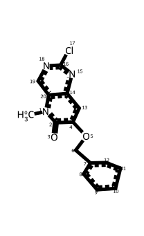 Cn1c(=O)c(OCc2ccccc2)cc2nc(Cl)ncc21